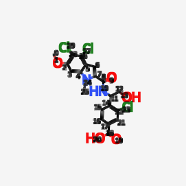 COc1cc2c(cc(C(=O)NC(CO)c3ccc(C(=O)O)cc3Cl)n2C)c(Cl)c1Cl